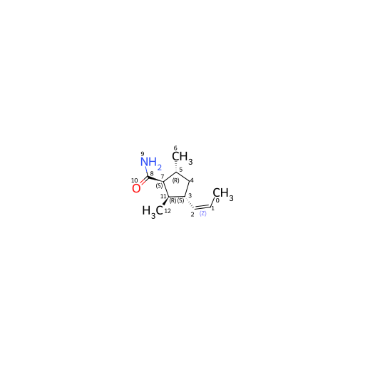 C/C=C\[C@H]1C[C@@H](C)[C@H](C(N)=O)[C@@H]1C